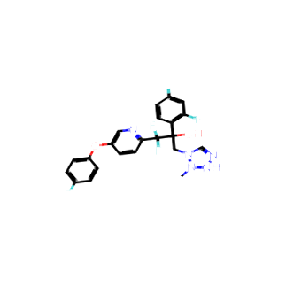 CN1NN=CN1CC(O)(c1ccc(F)cc1F)C(F)(F)c1ccc(Oc2ccc(F)cc2)cn1